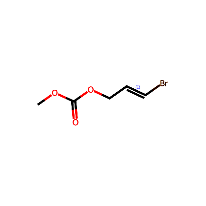 COC(=O)OC/C=C/Br